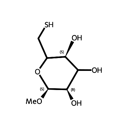 CO[C@H]1OC(CS)[C@@H](O)C(O)[C@H]1O